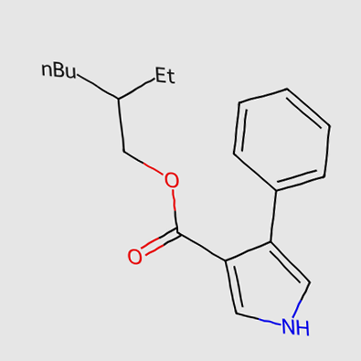 CCCCC(CC)COC(=O)c1c[nH]cc1-c1ccccc1